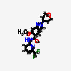 COc1cc2nn(C3CCOCC3)cc2cc1C(=O)Nc1cccc(C(F)F)n1